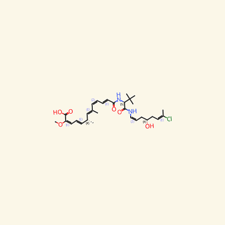 CO/C(=C/C=C/[C@@H](C)/C=C(C)/C=C\C=C\C(=O)N[C@H](C(=O)N/C=C\C[C@@H](O)C/C=C(\C)Cl)C(C)(C)C)C(=O)O